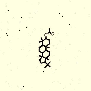 CC(=O)OC1CCC2(C)C(=CCC3C2CCC2(C)C(C(C)(C)C)CCC32C)C1(C)C